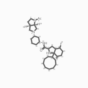 CC(=O)N1CC[C@H]2CN([C@H]3CCC[C@@H](NC(=O)C4CC5C(F)CCC(C)C5(C5CCCCCCCC5)N4)C3)C[C@H]21